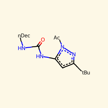 CCCCCCCCCCNC(=O)Nc1cc(C(C)(C)C)nn1C(C)=O